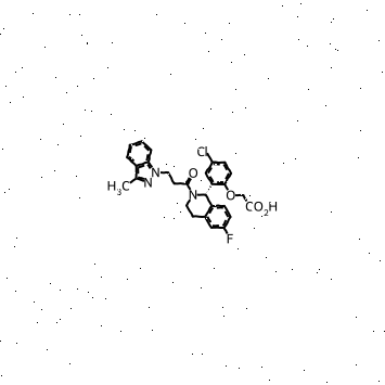 Cc1nn(CCC(=O)N2CCc3cc(F)ccc3[C@H]2c2cc(Cl)ccc2OCC(=O)O)c2ccccc12